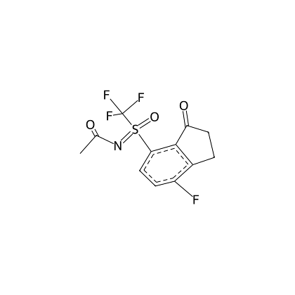 CC(=O)N=S(=O)(c1ccc(F)c2c1C(=O)CC2)C(F)(F)F